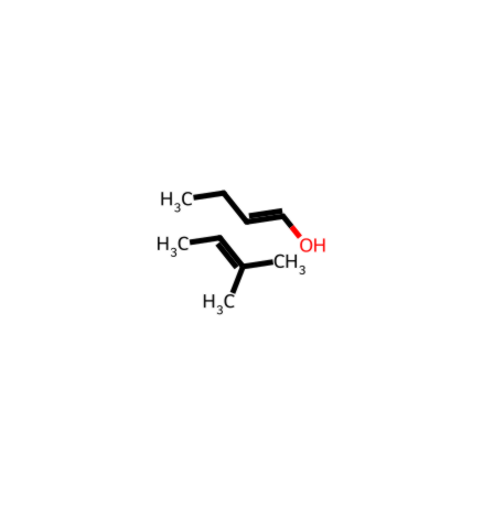 CC=C(C)C.CCC=CO